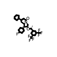 C[C@@H](O[C@H]1CN2C(=O)C=C(c3ccccc3)CC2[C@@H]1c1ccc(F)cc1)c1cc(C(F)(F)F)cc(C(F)(F)F)c1